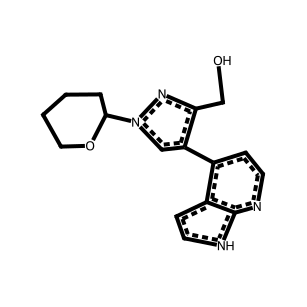 OCc1nn(C2CCCCO2)cc1-c1ccnc2[nH]ccc12